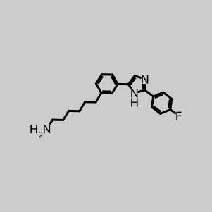 NCCCCCCc1cccc(-c2cnc(-c3ccc(F)cc3)[nH]2)c1